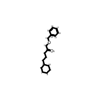 O=C(CCCC1CCCCC1)COCc1ccccc1